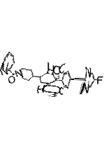 Cc1cc(-c2ncc(F)cn2)cc(C)c1C1C(=O)CC(C2CCN(C(=O)c3ccccn3)CC2)CC1=O